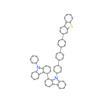 c1ccc(-n2c3ccccc3c3c(-c4cccc5c6ccccc6n(-c6ccc(-c7ccc(-c8ccc(-c9ccc%10c(c9)sc9ccccc9%10)cc8)cc7)cc6)c45)cccc32)cc1